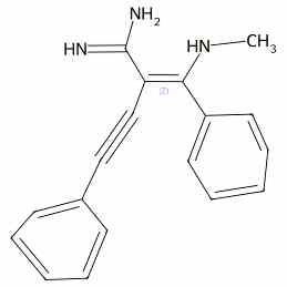 CN/C(=C(/C#Cc1ccccc1)C(=N)N)c1ccccc1